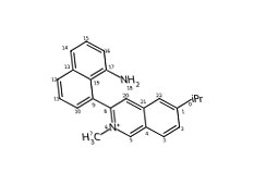 CC(C)c1ccc2c[n+](C)c(-c3cccc4cccc(N)c34)cc2c1